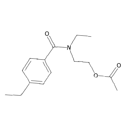 CCc1ccc(C(=O)N(CC)CCOC(C)=O)cc1